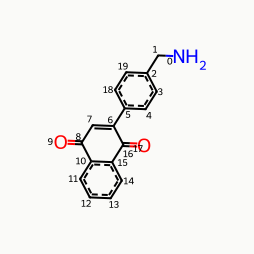 NCc1ccc(C2=CC(=O)c3ccccc3C2=O)cc1